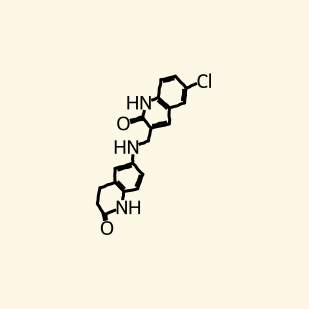 O=C1CCc2cc(NCc3cc4cc(Cl)ccc4[nH]c3=O)ccc2N1